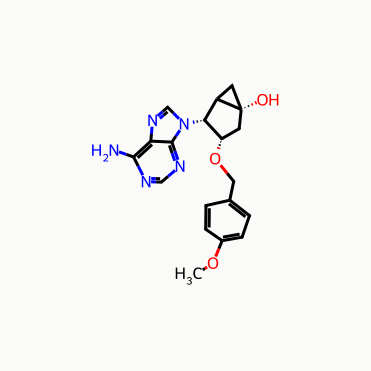 COc1ccc(CO[C@H]2C[C@]3(O)CC3[C@H]2n2cnc3c(N)ncnc32)cc1